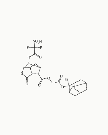 CCC1(OC(=O)COC(=O)C2C3CC4C(OC(=O)C42)C3OC(=O)C(F)(F)S(=O)(=O)O)C2CC3CC(C2)CC1C3